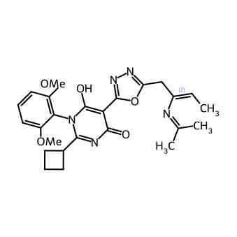 C/C=C(/Cc1nnc(-c2c(O)n(-c3c(OC)cccc3OC)c(C3CCC3)nc2=O)o1)N=C(C)C